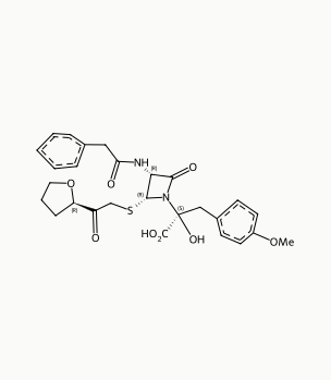 COc1ccc(C[C@](O)(C(=O)O)N2C(=O)[C@@H](NC(=O)Cc3ccccc3)[C@H]2SCC(=O)[C@H]2CCCO2)cc1